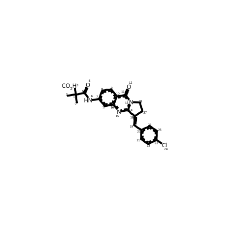 CC(C)(C(=O)O)C(=O)Nc1ccc2c(=O)n3c(nc2c1)/C(=C/c1ccc(Cl)cc1)CC3